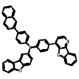 c1ccc2cc(-c3ccc(N(c4ccc(-c5ccnc6c5oc5ccccc56)cc4)c4ccc5oc6ccccc6c5c4)cc3)ccc2c1